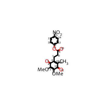 COC1=C(OC)C(=O)C(CCC(=O)Oc2ccc([N+](=O)[O-])cc2)=C(C)C1=O